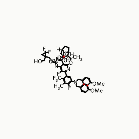 COc1ccc(CN(Cc2ccc(OC)cc2)c2cc(-c3nc4c5c(nc(OCC6(CO)CC6(F)F)nc5c3F)N3C[C@H]5CC[C@@H]([C@H]3[C@H](C)O4)N5C(=O)OC(C)(C)C)c(C(F)(F)F)c(C)c2F)cc1